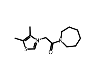 Cc1sc[n+](CC(=O)N2CCCCCC2)c1C